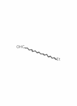 CCC=CCC=CCC=CCC=CCC=CCCCC=O